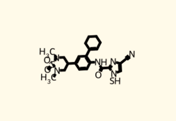 CN1CC(c2ccc(NC(=O)c3nc(C#N)cn3S)c(C3=CCCCC3)c2)CN(C)S1(=O)=O